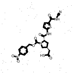 N#CNC(=O)c1ccc(NC(=O)[C@@H]2C[C@@H](CC(=O)S)CN2C(=O)OCc2ccc([N+](=O)[O-])cc2)s1